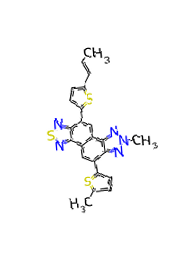 C/C=C/c1ccc(-c2cc3c(cc(-c4ccc(C)s4)c4nn(C)nc43)c3nsnc23)s1